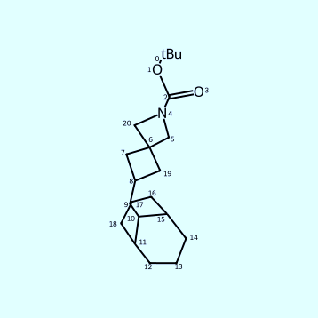 CC(C)(C)OC(=O)N1CC2(CC(CC3C4CCCC3CCC4)C2)C1